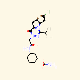 CC(C)c1nn(CC(=O)N[C@H]2CCC[C@@H](OC(N)=O)C2)c(=O)c2cc3sc(Cl)cc3n12